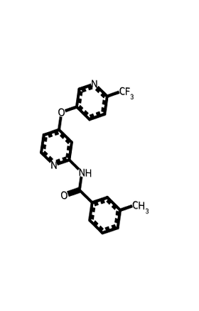 Cc1cccc(C(=O)Nc2cc(Oc3ccc(C(F)(F)F)nc3)ccn2)c1